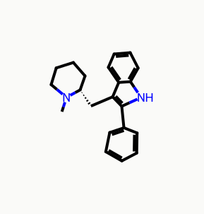 CN1CCCC[C@@H]1Cc1c(-c2ccccc2)[nH]c2ccccc12